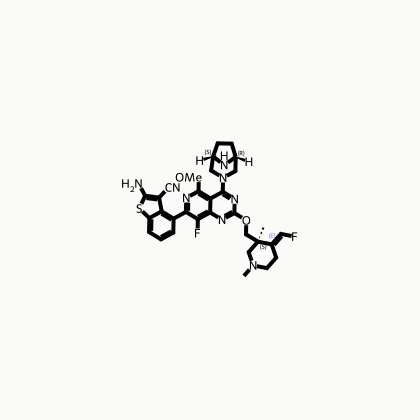 COc1nc(-c2cccc3sc(N)c(C#N)c23)c(F)c2nc(OC[C@]3(C)CN(C)CC/C3=C\F)nc(N3C[C@H]4CC[C@@H](C3)N4)c12